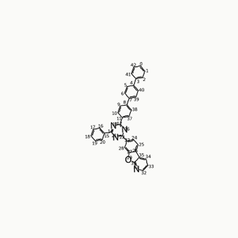 c1ccc(-c2ccc(-c3ccc(-c4nc(-c5ccccc5)nc(-c5ccc6c(c5)oc5ncccc56)n4)cc3)cc2)cc1